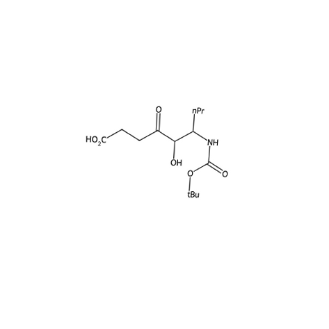 CCCC(NC(=O)OC(C)(C)C)C(O)C(=O)CCC(=O)O